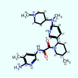 Cc1cc(NC(=O)C(=O)N2C[C@@H](C)CC[C@@H]2c2ccc(N(C)C3CCN(C)CC3)nc2)cnc1N